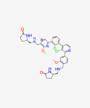 COc1cc(-c2nccc(-c3cccc(-c4cnc(CNC[C@H]5CCC(=O)N5)c(OC)n4)c3Cl)c2Cl)ccc1CNC[C@H]1CCC(=O)N1